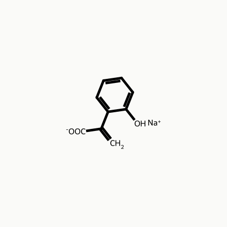 C=C(C(=O)[O-])c1ccccc1O.[Na+]